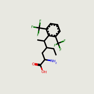 CCC(CC(N)C(=O)O)C(C)c1c(C(F)(F)F)cccc1C(F)(F)F